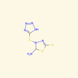 NC1SC([S])=NN1Sc1nnn[nH]1